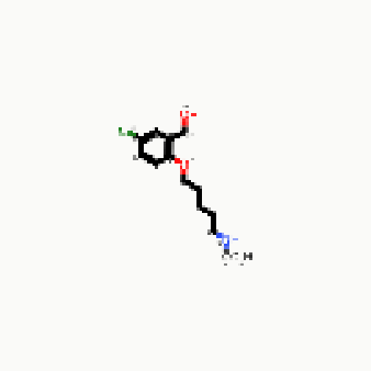 O=C(O)NCCCCCOc1ccc(Cl)cc1CO